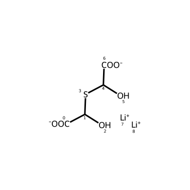 O=C([O-])C(O)SC(O)C(=O)[O-].[Li+].[Li+]